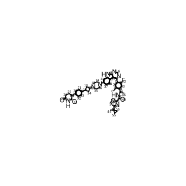 Cc1cc(-c2ncnc3[nH]c4cc(N5CCN(C6CC(c7ccc([C@H]8CCC(=O)NC8=O)cc7)C6)CC5)ccc4c23)c(F)cc1[C@@H](C)NC(=O)c1nc(C2(C)CC2)no1